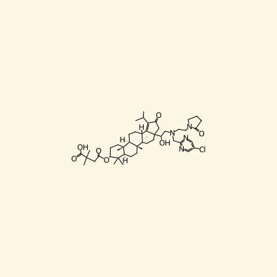 CC(C)C1=C2[C@H]3CC[C@@H]4[C@@]5(C)CC[C@H](OC(=O)CC(C)(C)C(=O)O)C(C)(C)[C@@H]5CC[C@@]4(C)[C@]3(C)CCC2(C(O)CN(CCN2CCCC2=O)Cc2ncc(Cl)cn2)CC1=O